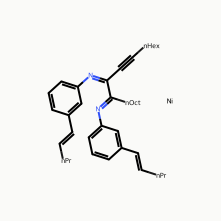 CCCC=Cc1cccc(N=C(C#CCCCCCC)C(CCCCCCCC)=Nc2cccc(C=CCCC)c2)c1.[Ni]